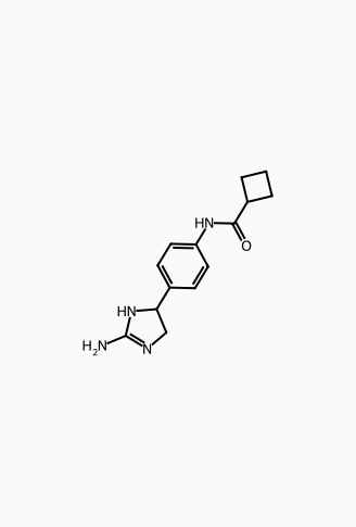 NC1=NCC(c2ccc(NC(=O)C3CCC3)cc2)N1